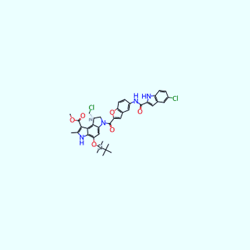 COC(=O)c1c(C)[nH]c2c(O[Si](C)(C)C(C)(C)C)cc3c(c12)[C@H](CCl)CN3C(=O)c1cc2cc(NC(=O)c3cc4cc(Cl)ccc4[nH]3)ccc2o1